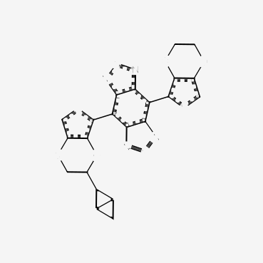 c1sc(-c2c3c(c(-c4scc5c4OC(C4C6CC64)CS5)c4nsnc24)N=S=N3)c2c1OCCO2